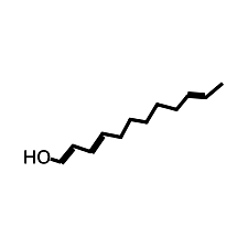 CC=CCCCCCC=CC=CO